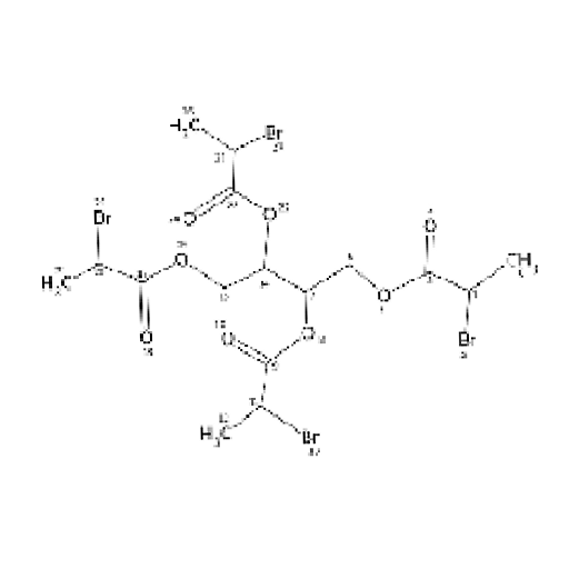 CC(Br)C(=O)OCC(OC(=O)C(C)Br)C(COC(=O)C(C)Br)OC(=O)C(C)Br